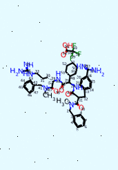 CN(Cc1ccccc1)C(=O)C(Cc1ccc(C(=N)N)cc1)C(=O)NC(C(=O)N[C@@H](CCCNC(=N)N)C(=O)N(C)Cc1ccccc1)C1CCCCC1.O=C(O)C(F)(F)F